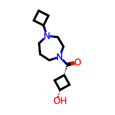 O=C([C@H]1C[C@@H](O)C1)N1CCCN(C2CCC2)CC1